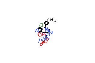 CC1CCC(Cn2cnc3nc(-c4noc(=O)[nH]4)nc(-c4cc(Cl)cnc4O)c32)CC1